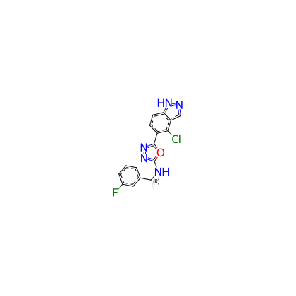 C[C@@H](Nc1nnc(-c2ccc3[nH]ncc3c2Cl)o1)c1cccc(F)c1